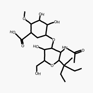 CCC(C)(CC)C1OC(CO)C(O)C(OC2CC(C(=O)O)C(OC)C(O)C2O)C1NC(C)=O